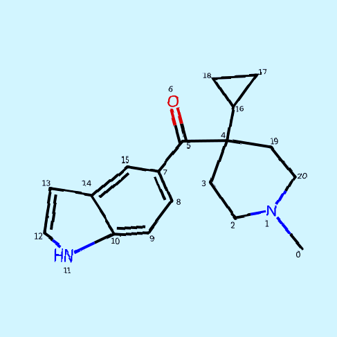 CN1CCC(C(=O)c2ccc3[nH]ccc3c2)(C2CC2)CC1